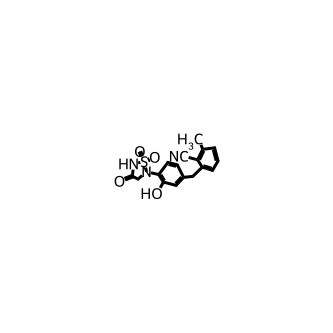 Cc1cccc(Cc2ccc(N3CC(=O)NS3(=O)=O)c(O)c2)c1C#N